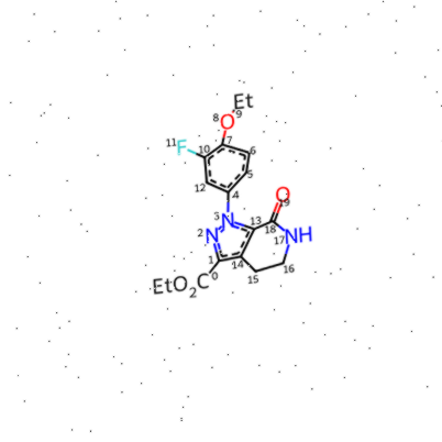 CCOC(=O)c1nn(-c2ccc(OCC)c(F)c2)c2c1CCNC2=O